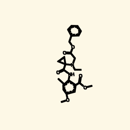 CCN(CC(=O)OCc1ccccc1)C1(C(=O)Nc2c(C)cc(OC)cc2C(=O)OC)CC1